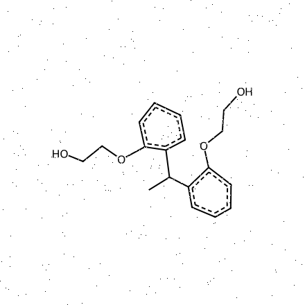 CC(c1ccccc1OCCO)c1ccccc1OCCO